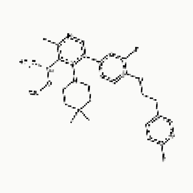 Cc1ncc(-c2ccc(OCCc3ccc(F)cc3)c(F)c2)c(N2CCC(C)(C)CC2)c1[C@H](OC(C)(C)C)C(=O)O